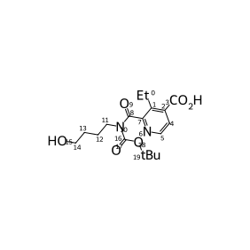 CCc1c(C(=O)O)ccnc1C(=O)N(CCCCO)C(=O)OC(C)(C)C